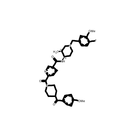 COc1ccc(C(=O)C2CCN(C(=O)c3ccc(C(=O)N[C@@H]4CCN(Cc5ccc(F)c(OC)c5)C[C@@H]4C)cn3)CC2)cc1